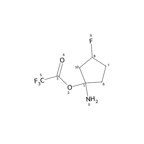 NC1(OC(=O)C(F)(F)F)CCC(F)C1